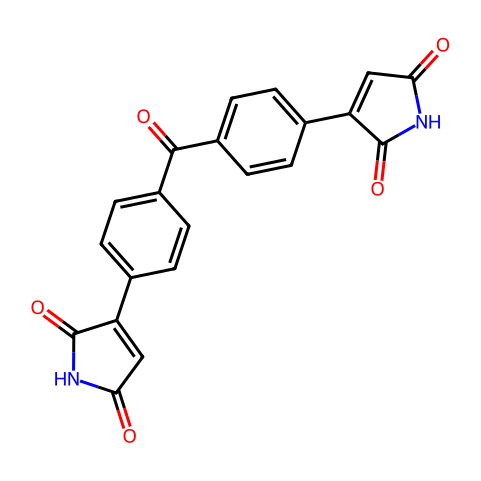 O=C1C=C(c2ccc(C(=O)c3ccc(C4=CC(=O)NC4=O)cc3)cc2)C(=O)N1